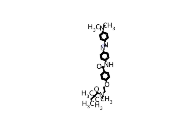 CCC(C)(C)C(=O)N(C)CCOc1ccc(C(=O)Nc2ccc(/N=N/c3ccc(N(C)C)cc3)cc2)cc1